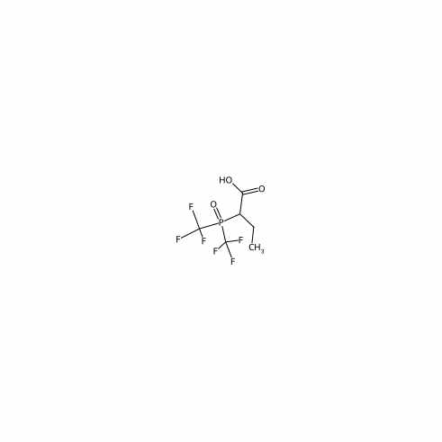 CCC(C(=O)O)P(=O)(C(F)(F)F)C(F)(F)F